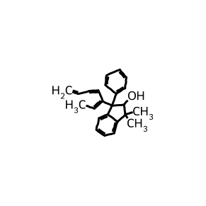 C=C/C=C\C(=C/C)C1(c2ccccc2)c2ccccc2C(C)(C)C1O